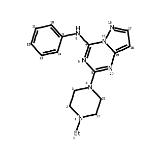 CCN1CCN(c2nc(Nc3ccccc3)n3nccc3n2)CC1